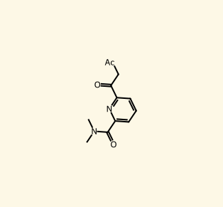 CC(=O)CC(=O)c1cccc(C(=O)N(C)C)n1